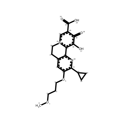 COCCCOc1cc2c(nc1C1CC1)-c1c(O)c(=O)c(C(=O)O)cn1CC2